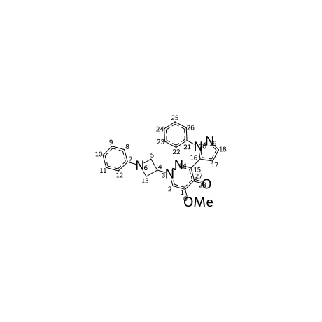 COc1cn(C2CN(c3ccccc3)C2)nc(-c2ccnn2-c2ccccc2)c1=O